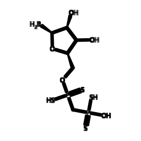 B[C@@H]1O[C@H](COP(=S)(S)CP(O)(=S)S)C(O)[C@@H]1O